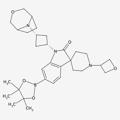 CC1(C)OB(c2ccc3c(c2)N([C@H]2C[C@@H](N4C5CCC4COC5)C2)C(=O)C32CCN(C3COC3)CC2)OC1(C)C